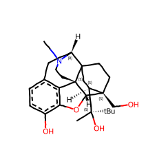 CN1CC[C@]23c4c5ccc(O)c4O[C@H]2[C@@]2(CO)CCC3(C[C@@H]2[C@](C)(O)C(C)(C)C)[C@H]1C5